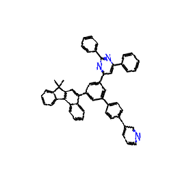 CC1(C)c2ccccc2-c2c1cc(-c1cc(-c3ccc(-c4cccnc4)cc3)cc(-c3cc(-c4ccccc4)nc(-c4ccccc4)n3)c1)c1ccccc21